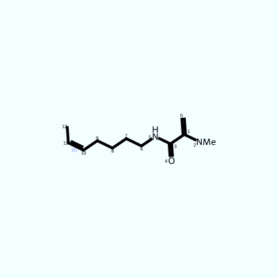 C=C(NC)C(=O)NCCCC/C=C\C